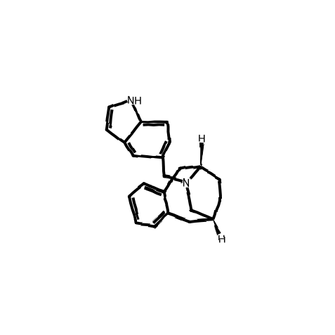 c1ccc2c(c1)C[C@H]1CC[C@@H](C2)N(Cc2ccc3[nH]ccc3c2)C1